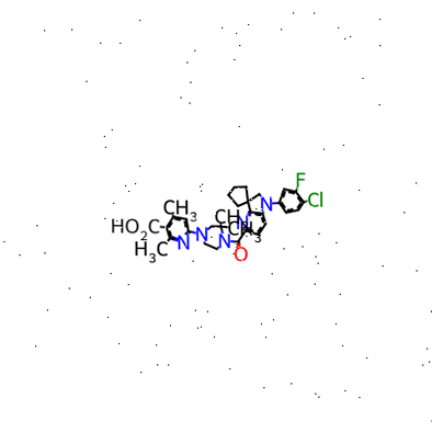 Cc1cc(N2CCN(C(=O)c3ccc4c(n3)C3(CCCC3)CN4c3ccc(Cl)c(F)c3)C(C)(C)C2)nc(C)c1C(=O)O